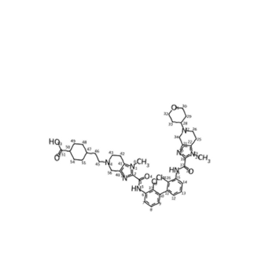 Cn1c(C(=O)Nc2cccc(-c3cccc(NC(=O)c4nc5c(n4C)CCN(C4CCOCC4)C5)c3Cl)c2Cl)nc2c1CCN(CCC1CCC(C(=O)O)CC1)C2